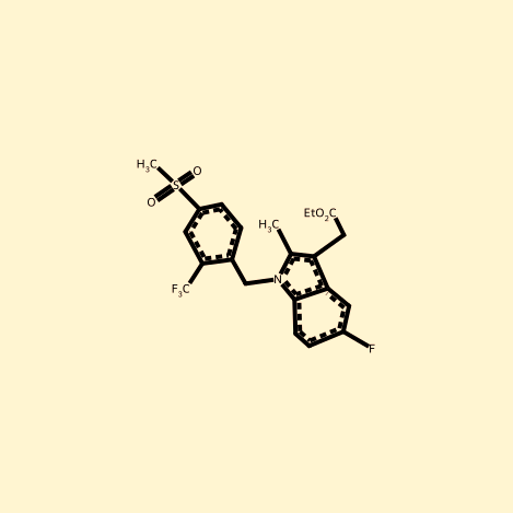 CCOC(=O)Cc1c(C)n(Cc2ccc(S(C)(=O)=O)cc2C(F)(F)F)c2ccc(F)cc12